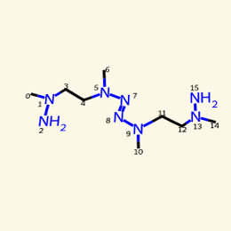 CN(N)CCN(C)/N=N/N(C)CCN(C)N